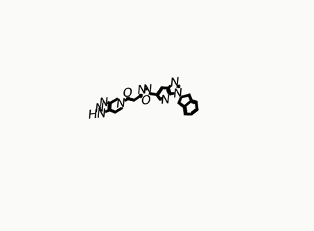 O=C(Cc1nnc(-c2cnc3c(c2)ncn3C2Cc3ccccc3C2)o1)N1CCc2[nH]nnc2C1